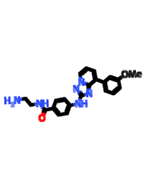 COc1cccc(-c2cccn3nc(Nc4ccc(C(=O)NCCN)cc4)nc23)c1